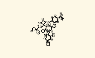 COC(=O)CCC1(C2C(=O)N(c3ncc(Cl)cc3F)CC(=O)N2Cc2ccc(C(F)F)cc2)CCC1